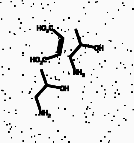 CC(O)CN.CC(O)CN.O=C(O)/C=C\C(=O)O